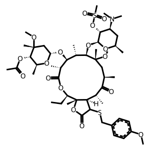 CC[C@H]1OC(=O)[C@H](C)[C@@H](O[C@H]2C[C@@](C)(OC)[C@@H](OC(C)=O)[C@H](C)O2)[C@H](C)[C@@H](O[C@@H]2O[C@H](C)C[C@H](N(C)C)[C@H]2OS(C)(=O)=O)[C@](C)(OC)C[C@@H](C)C(=O)[C@H](C)[C@H]2C(SCc3ccc(OC)cc3)C(=O)O[C@@]21C